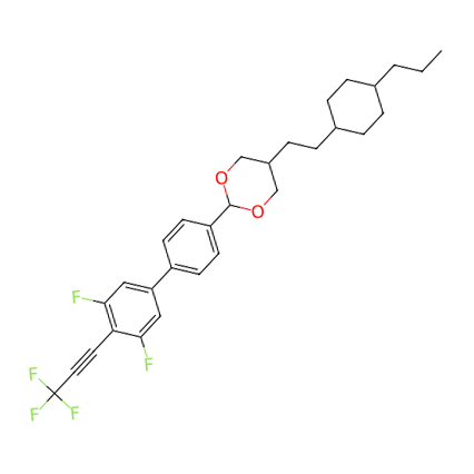 CCCC1CCC(CCC2COC(c3ccc(-c4cc(F)c(C#CC(F)(F)F)c(F)c4)cc3)OC2)CC1